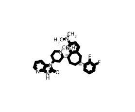 CN(C)c1ccc2c(n1)[C@@H](C1CC(n3c(=O)[nH]c4ncccc43)CCN1C(=O)O)CC[C@@H](c1cccc(F)c1F)C2